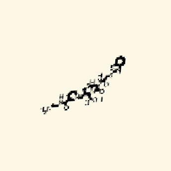 NCCNC(=O)c1ccc[n+](CC2=C(C(=O)O)N3C(=O)[C@H](NC(=O)CSc4nc5ccccc5s4)[C@H]3SC2)c1